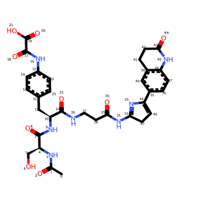 CC(=O)N[C@@H](CO)C(=O)N[C@@H](Cc1ccc(NC(=O)C(=O)O)cc1)C(=O)NCCC(=O)NC1=NC(c2ccc3c(c2)CCC(=O)N3)=CC1